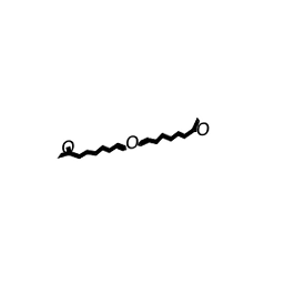 C(=COC=CCCCCCC1CO1)CCCCCC1CO1